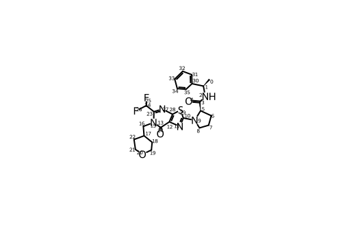 C[C@@H](NC(=O)[C@H]1CCCN1c1nc2c(=O)n(CC3CCOCC3)c(C(F)F)nc2s1)c1ccccc1